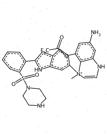 C[N+]1(c2ccc3cc(-c4ccccc4S(=O)(=O)N4CCNCC4)[nH]c3c2)C=CNc2cc(N)cc(OC(=O)C(F)(F)F)c21